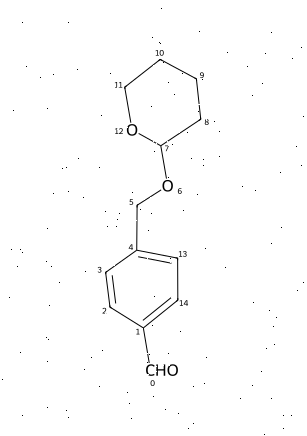 O=Cc1ccc(COC2CCCCO2)cc1